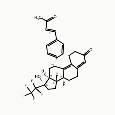 CC(=O)/C=C/c1ccc([C@H]2C[C@@]3(C)[C@@H](CC[C@@]3(O)C(F)(F)C(F)(F)F)[C@@H]3CCC4=CC(=O)CCC4=C32)cc1